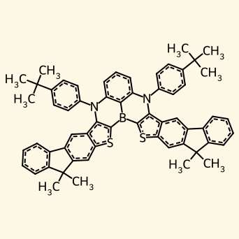 CC(C)(C)c1ccc(N2c3cccc4c3B(c3sc5cc6c(cc5c32)-c2ccccc2C6(C)C)c2sc3cc5c(cc3c2N4c2ccc(C(C)(C)C)cc2)-c2ccccc2C5(C)C)cc1